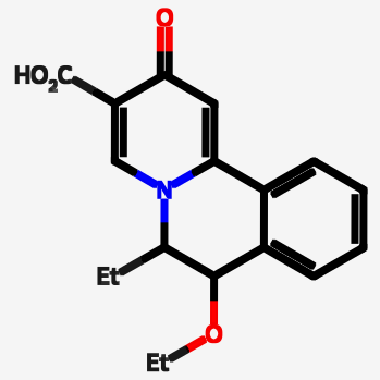 CCOC1c2ccccc2-c2cc(=O)c(C(=O)O)cn2C1CC